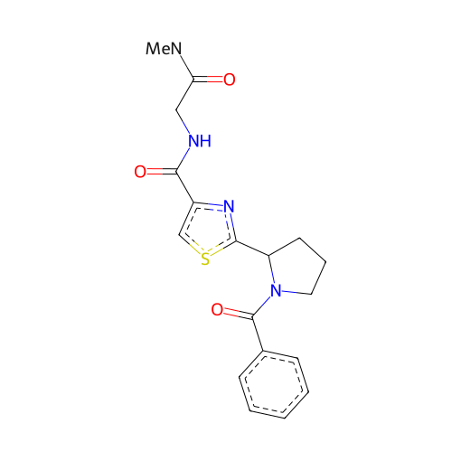 CNC(=O)CNC(=O)c1csc(C2CCCN2C(=O)c2ccccc2)n1